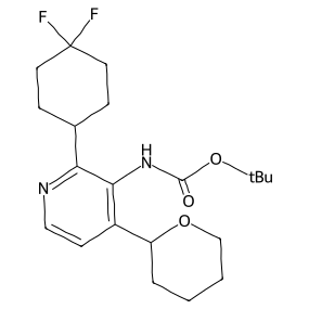 CC(C)(C)OC(=O)Nc1c(C2CCCCO2)ccnc1C1CCC(F)(F)CC1